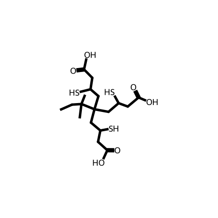 CCC(C)(C)C(CC(S)CC(=O)O)(CC(S)CC(=O)O)CC(S)CC(=O)O